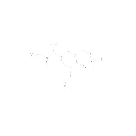 C=CCc1cc(C(C)C(=O)OC)cc2c1NC(C)(C)C=C2